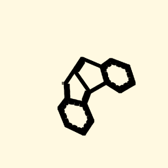 [C]1=c2ccccc2=C2C1=Cc1ccccc12